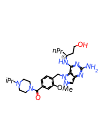 CCC[C@@H](CCO)Nc1nc(N)nc2cnn(Cc3ccc(C(=O)N4CCN(C(C)C)CC4)cc3OC)c12